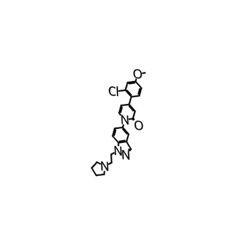 COc1ccc(-c2ccn(-c3ccc4c(cnn4CCN4CCCC4)c3)c(=O)c2)c(Cl)c1